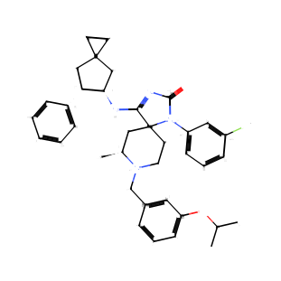 CC(C)Oc1cccc(CN2CCC3(C[C@@H]2C)C(N[C@@H]2CC4(CC4)C[C@H]2c2ccccc2)=NC(=O)N3c2cccc(F)c2)c1